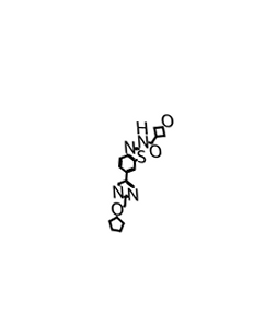 O=C1CC(C(=O)Nc2nc3ccc(-c4cnc(COC5CCCC5)nc4)cc3s2)C1